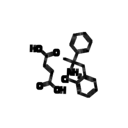 CC(N)(Cc1ccccc1Cl)c1ccccc1.O=C(O)C=CC(=O)O